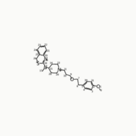 COc1ccc(CCOCCCN2CCC(N(C)C3=Nc4ccccc4CS3)CC2)cc1